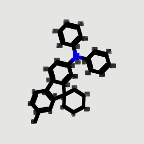 Cc1ccc2c(c1)C1(CCCCC1)c1cc(N(c3ccccc3)c3ccccc3)ccc1-2